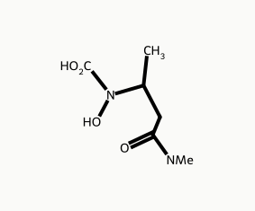 CNC(=O)CC(C)N(O)C(=O)O